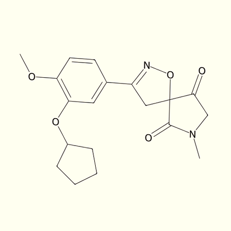 COc1ccc(C2=NOC3(C2)C(=O)CN(C)C3=O)cc1OC1CCCC1